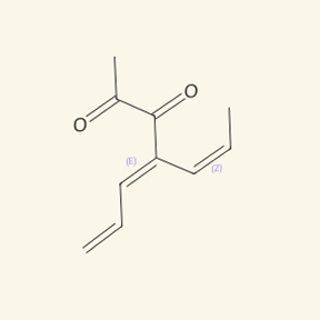 C=C/C=C(\C=C/C)C(=O)C(C)=O